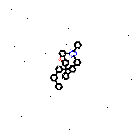 c1ccc(-c2cccc(-c3cccc(C4(c5ccc6c(c5)oc5cccc(-c7nc(-c8ccccc8)nc(-c8ccccc8)n7)c56)c5ccccc5-c5ccccc54)c3)c2)cc1